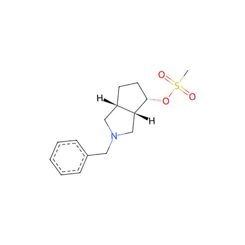 CS(=O)(=O)O[C@H]1CC[C@H]2CN(Cc3ccccc3)C[C@H]21